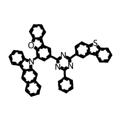 c1ccc(-c2nc(-c3ccc4sc5ccccc5c4c3)nc(-c3cc(-n4c5ccccc5c5cc6ccccc6cc54)c4oc5ccccc5c4c3)n2)cc1